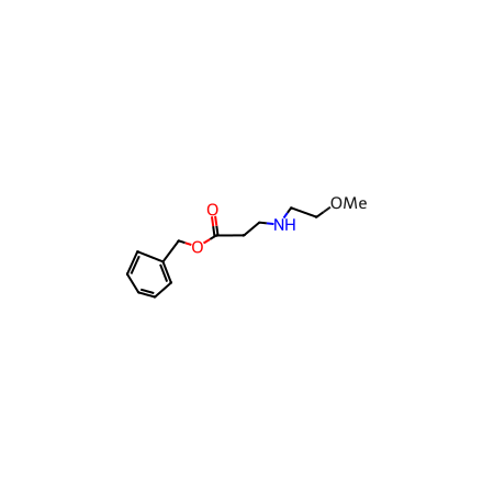 COCCNCCC(=O)OCc1ccccc1